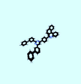 c1ccc(-c2cccc(-c3cc(-c4ccc(-c5nc6ccccc6c6c5ccc5ccccc56)cc4)nc(-c4cccc(-c5ccccc5)c4)n3)c2)cc1